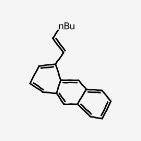 CCCCC=Cc1cccc2cc3ccccc3cc12